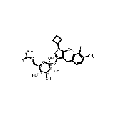 COC(=O)OC[C@H]1O[C@@](O)(Oc2nn(C3CCC3)c(C)c2Cc2ccc(C)c(F)c2)[C@H](O)[C@@H](O)[C@@H]1O